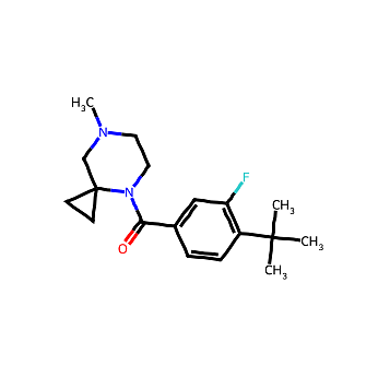 CN1CCN(C(=O)c2ccc(C(C)(C)C)c(F)c2)C2(CC2)C1